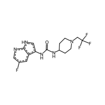 O=C(Nc1c[nH]c2ncc(F)cc12)NC1CCN(CC(F)(F)F)CC1